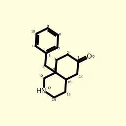 O=C1CCC2(Cc3ccccc3)CNCCC2C1